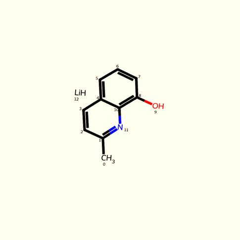 Cc1ccc2cccc(O)c2n1.[LiH]